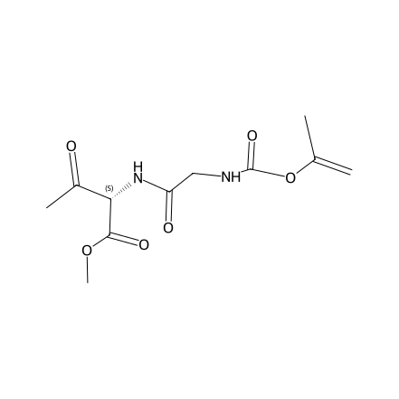 C=C(C)OC(=O)NCC(=O)N[C@@H](C(C)=O)C(=O)OC